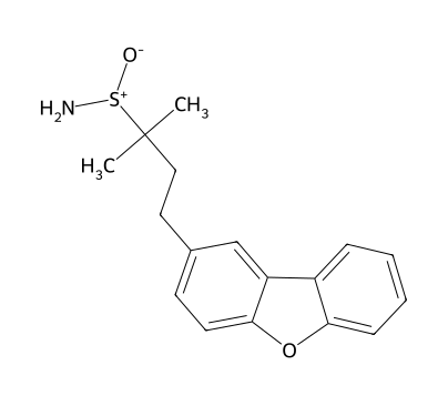 CC(C)(CCc1ccc2oc3ccccc3c2c1)[S+](N)[O-]